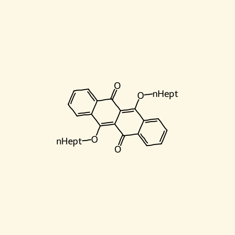 CCCCCCCOC1=C2C(=O)c3ccccc3C(OCCCCCCC)=C2C(=O)c2ccccc21